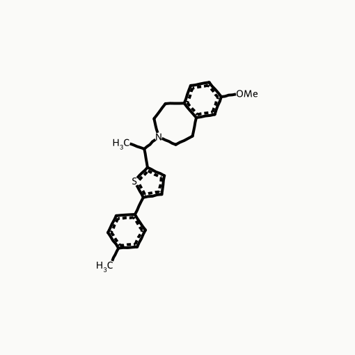 COc1ccc2c(c1)CCN(C(C)c1ccc(-c3ccc(C)cc3)s1)CC2